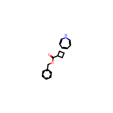 C1=CC=CNC=C1.O=C(OCc1ccccc1)C1CCC1